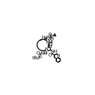 CC(C)(C)OC(=O)N[C@H]1CCCCC/C=C\[C@@H]2C[C@@]2(C(=O)NS(=O)(=O)C2CC2)NC(=O)[C@@H]2C[C@@H](NC(=O)c3cnc4ccccc4c3)CN2C1=O